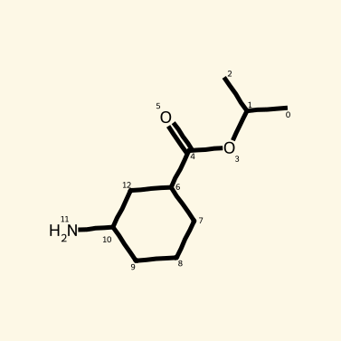 CC(C)OC(=O)C1CCCC(N)C1